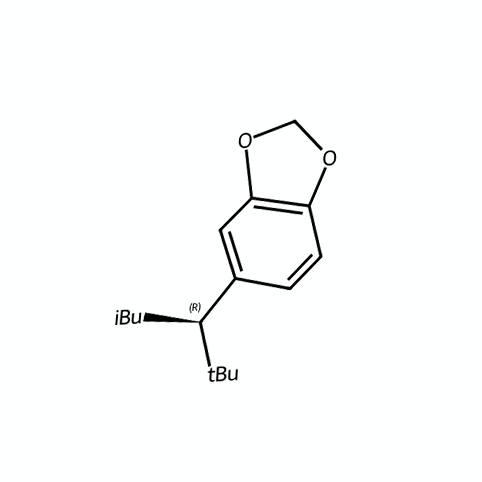 CCC(C)[C@@H](c1ccc2c(c1)OCO2)C(C)(C)C